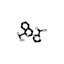 O=C(O)c1ccccn1.O=C(O)c1nccc2ccccc12